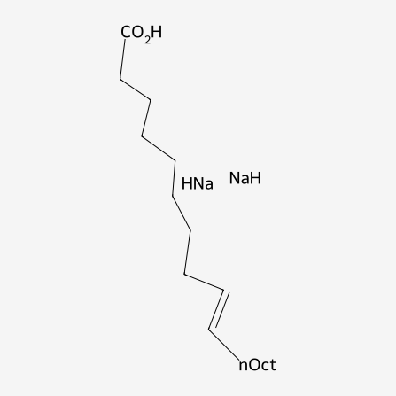 CCCCCCCCC=CCCCCCCCC(=O)O.[NaH].[NaH]